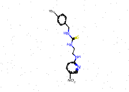 CC(C)(C)c1ccc(CNC(=S)NCCNc2ccc([N+](=O)[O-])cn2)cc1